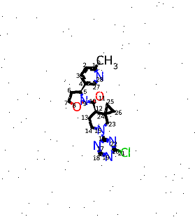 Cc1ccc([C@@H]2CCON2C(=O)[C@@H]2CCN(c3ncnc(Cl)n3)CC23CC3)cn1